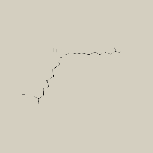 CC(C)CCCCCCCOP(=O)(O)OCCCCCCCC(C)C